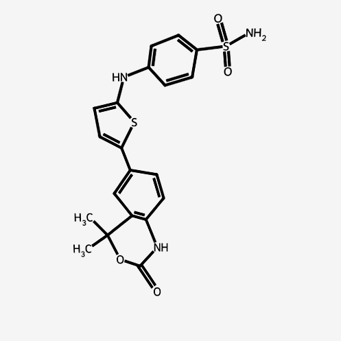 CC1(C)OC(=O)Nc2ccc(-c3ccc(Nc4ccc(S(N)(=O)=O)cc4)s3)cc21